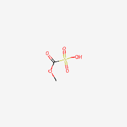 COC(=O)S(=O)(=O)O